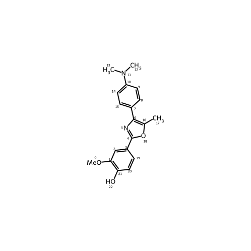 COc1cc(-c2nc(-c3ccc(N(C)C)cc3)c(C)o2)ccc1O